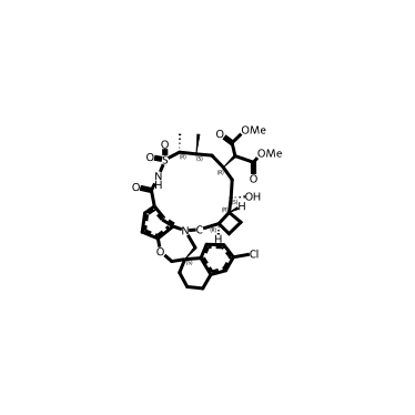 COC(=O)C(C(=O)OC)[C@@H]1C[C@H](C)[C@@H](C)S(=O)(=O)NC(=O)c2ccc3c(c2)N(C[C@@H]2CC[C@H]2[C@@H](O)C1)C[C@@]1(CCCc2cc(Cl)ccc21)CO3